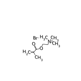 C=C(C)C(=O)OCC[N+](C)(C)C.[Br-]